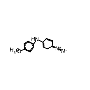 COc1ccc(NC2=CCC(=[N+]=[N-])C=C2)cc1